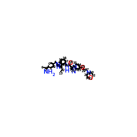 C=C(/C=C\C=C(\C)N)Cn1nc(CC)c2c(NC(=O)c3cnc4cc(OCCN5CCOCC5)ccn34)cccc21